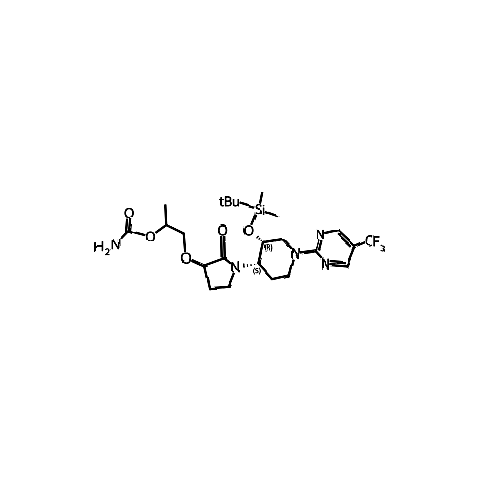 CC(COC1CCN([C@H]2CCN(c3ncc(C(F)(F)F)cn3)C[C@H]2O[Si](C)(C)C(C)(C)C)C1=O)OC(N)=O